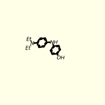 CCN(CC)c1ccc(Nc2ccc(O)cc2)cc1